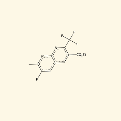 CCOC(=O)c1cc2cc(F)c(C)nc2nc1C(F)(F)I